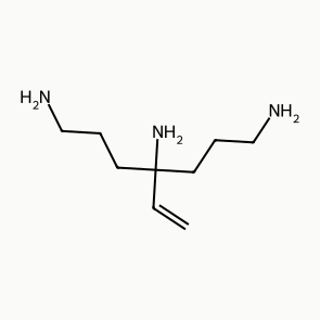 C=CC(N)(CCCN)CCCN